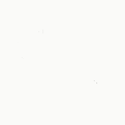 O=C(O)c1c(Cl)cc2c(c1Cl)CCN(Cl)C2